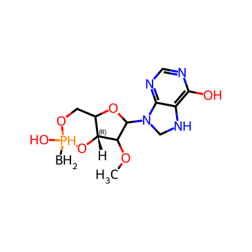 B[PH]1(O)OCC2OC(N3CNc4c(O)ncnc43)C(OC)[C@@H]2O1